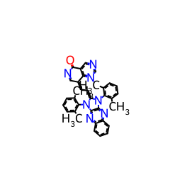 Cc1cccc(C)c1N1C(=C/C=C2/C=NC(=O)c3cncnc32)N(c2c(C)cccc2C)c2nc3ccccc3nc21